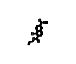 C=CCOC(=O)c1ccc2cc(C(=O)O)ccc2c1Cl